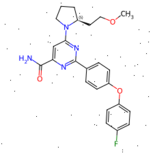 COCC[C@@H]1CCCN1c1cc(C(N)=O)nc(-c2ccc(Oc3ccc(F)cc3)cc2)n1